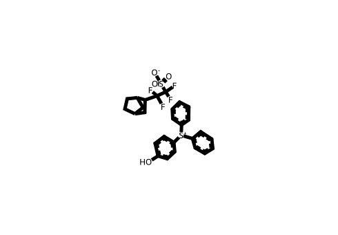 O=S(=O)([O-])C(F)(F)C(F)(F)C1CC2CCC1C2.Oc1ccc([S+](c2ccccc2)c2ccccc2)cc1